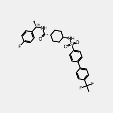 C[C@@H](NC(=O)[C@H]1CC[C@H](NS(=O)(=O)c2ccc(-c3ccc(C(C)(F)F)cc3)cc2)CC1)c1ccc(F)cc1